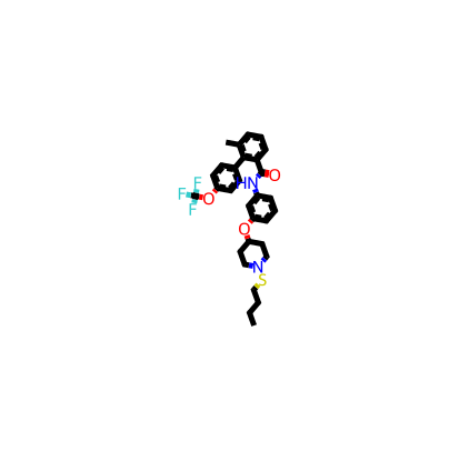 CCCCSN1CCC(Oc2cccc(NC(=O)c3cccc(C)c3-c3ccc(OC(F)(F)F)cc3)c2)CC1